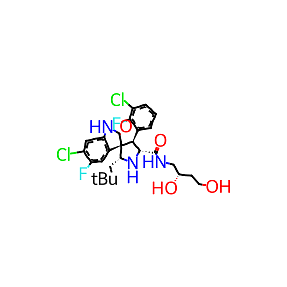 CC(C)(C)C[C@H]1N[C@@H](C(=O)NC[C@@H](O)CCO)[C@H](c2cccc(Cl)c2F)[C@@]12C(=O)Nc1cc(Cl)c(F)cc12